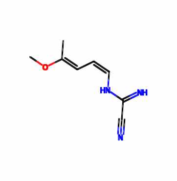 CO/C(C)=C/C=C\NC(=N)C#N